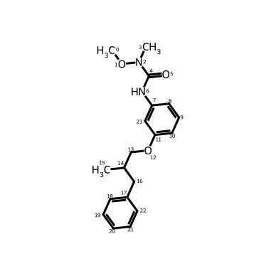 CON(C)C(=O)Nc1cccc(OCC(C)Cc2ccccc2)c1